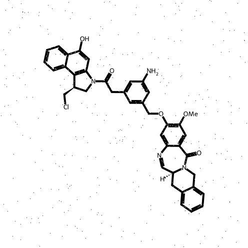 COc1cc2c(cc1OCc1cc(N)cc(CC(=O)N3C[C@@H](CCl)c4c3cc(O)c3ccccc43)c1)N=C[C@@H]1Cc3ccccc3CN1C2=O